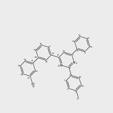 Cc1ccc(-c2nc(-c3ccccc3)cc(-c3cccc(-c4cccc(Cl)c4)c3)n2)cc1